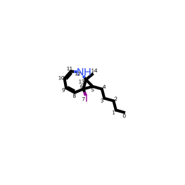 CCCCCC1C2(I)C=CC=CNC12C